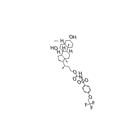 CC[C@H]1[C@@H](O)[C@@H]2[C@H](CC[C@]3(C)[C@@H]([C@H](C)CCOC(=O)NS(=O)(=O)c4ccc(OCC(F)(F)F)cc4)CC[C@@H]23)[C@@]2(C)CC[C@@H](O)C[C@@H]12